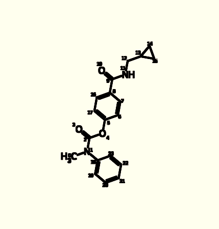 CN(C(=O)Oc1ccc(C(=O)NCC2CC2)cc1)c1ccccc1